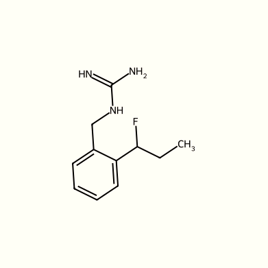 CCC(F)c1ccccc1CNC(=N)N